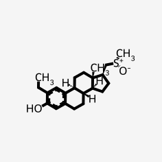 CCc1cc2c(cc1O)CC[C@@H]1[C@@H]2CC[C@]2(C)[C@@H](C[S+](C)[O-])CC[C@@H]12